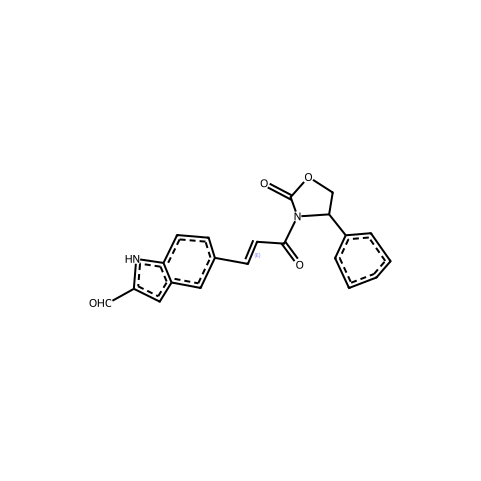 O=Cc1cc2cc(/C=C/C(=O)N3C(=O)OCC3c3ccccc3)ccc2[nH]1